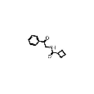 O=C(CNC(=O)C1CCC1)c1ccccc1